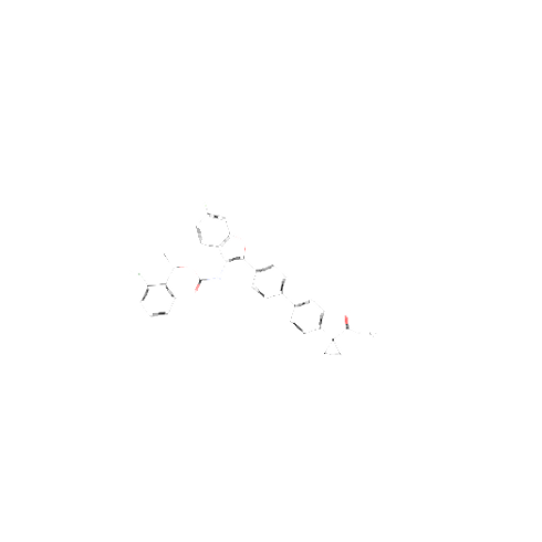 COC(=O)C1(c2ccc(-c3ccc(-c4oc5cc(F)ccc5c4NC(=O)O[C@H](C)c4ccccc4Cl)cc3)cc2)CC1